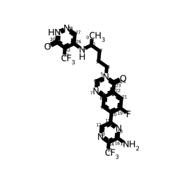 CC(CCCn1cnc2cc(-c3cnc(C(F)(F)F)c(N)n3)c(F)cc2c1=O)Nc1cn[nH]c(=O)c1C(F)(F)F